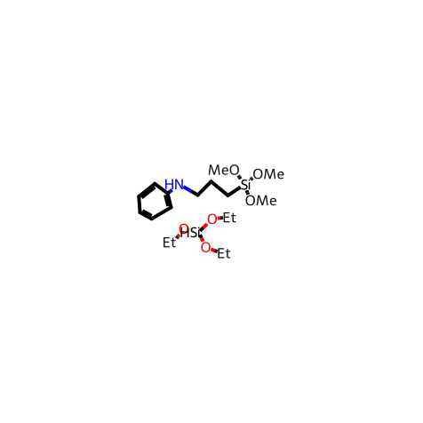 CCO[SiH](OCC)OCC.CO[Si](CCCNc1ccccc1)(OC)OC